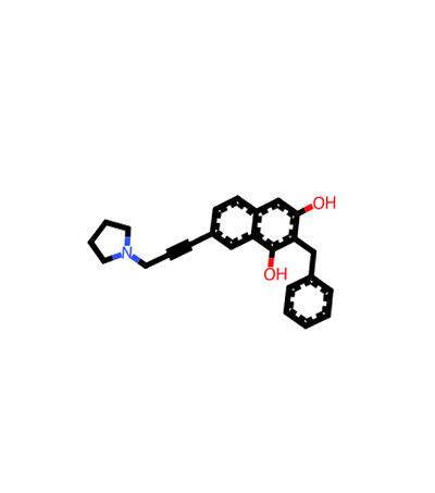 Oc1cc2ccc(C#CCN3CCCC3)cc2c(O)c1Cc1ccccc1